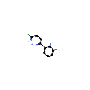 Nc1cccc(-c2ccc(Cl)nn2)c1N